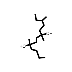 CCCCC(C)(O)CCC(C)(O)CCC(C)CC